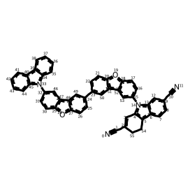 N#CC1=Cc2c(c3ccc(C#N)cc3n2-c2ccc3oc4ccc(-c5ccc6oc7ccc(-n8c9ccccc9c9ccccc98)cc7c6c5)cc4c3c2)CC1